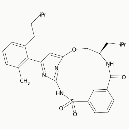 Cc1cccc(CCC(C)C)c1-c1cc2nc(n1)NS(=O)(=O)c1cccc(c1)C(=O)N[C@H](CC(C)C)CO2